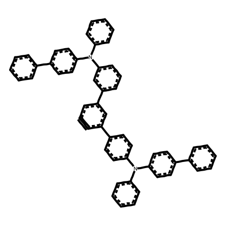 c1cc(-c2cccc(N(c3ccccc3)c3ccc(-c4ccccc4)cc3)c2)cc(-c2ccc(N(c3ccccc3)c3ccc(-c4ccccc4)cc3)cc2)c#1